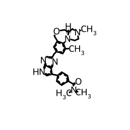 Cc1cc(-c2cnc3[nH]cc(-c4ccc(C(=O)N(C)C)cc4)c3n2)cc2c1N1CCN(C)C[C@H]1COC2